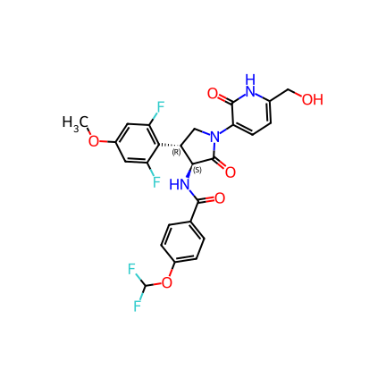 COc1cc(F)c([C@@H]2CN(c3ccc(CO)[nH]c3=O)C(=O)[C@H]2NC(=O)c2ccc(OC(F)F)cc2)c(F)c1